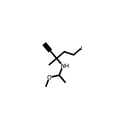 C#CC(C)(CCI)NC(C)OC